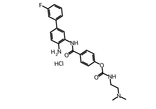 CN(C)CCNC(=O)Oc1ccc(C(=O)Nc2cc(-c3cccc(F)c3)ccc2N)cc1.Cl